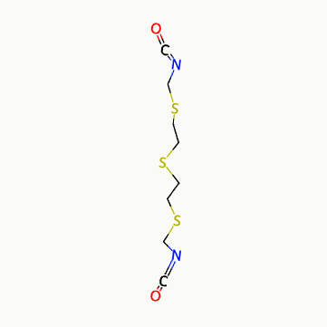 O=C=NCSCCSCCSCN=C=O